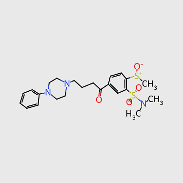 CN(C)S(=O)(=O)c1cc(C(=O)CCCN2CCN(c3ccccc3)CC2)ccc1[S+](C)[O-]